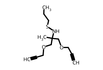 C#CCOCC(C)(COCC#C)NSCCC